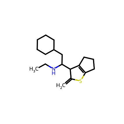 C=C1SC2=C(CCC2)C1C(CC1CCCCC1)NCC